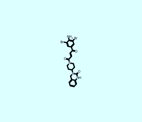 Nc1c(Br)cc(C(=O)C=CC(=O)N2CCC(N3Cc4ccccc4NC3=O)CC2)cc1Br